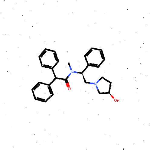 CN(C(=O)C(c1ccccc1)c1ccccc1)[C@H](CN1CC[C@@H](O)C1)c1ccccc1